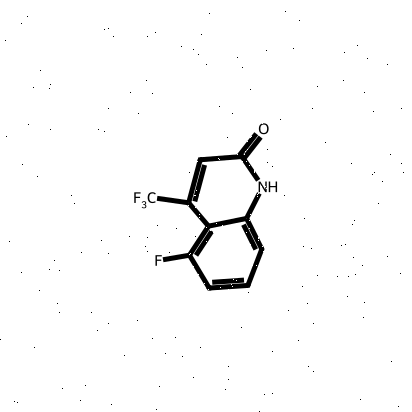 O=c1cc(C(F)(F)F)c2c(F)cccc2[nH]1